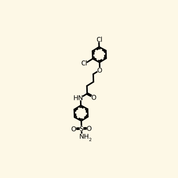 NS(=O)(=O)c1ccc(NC(=O)CCCOc2ccc(Cl)cc2Cl)cc1